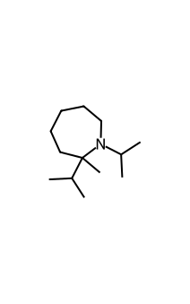 CC(C)N1CCCCCC1(C)C(C)C